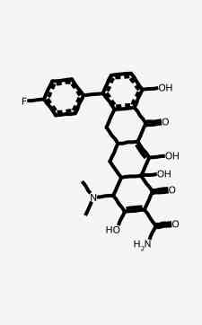 CN(C)C1C(O)=C(C(N)=O)C(=O)C2(O)C(O)=C3C(=O)c4c(O)ccc(-c5ccc(F)cc5)c4CC3CC12